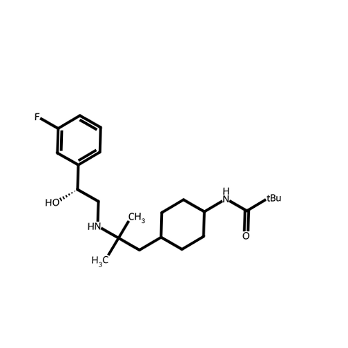 CC(C)(CC1CCC(NC(=O)C(C)(C)C)CC1)NC[C@H](O)c1cccc(F)c1